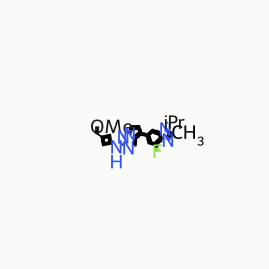 COC[C@H]1C[C@H](Nc2ncc3c(-c4cc(F)c5nc(C)n(C(C)C)c5c4)ccn3n2)C1